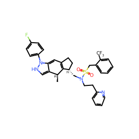 C[C@H]1C2=CNN(c3ccc(F)cc3)C2=CC2=C1[C@@H](CN(CCc1ccccn1)S(=O)(=O)Cc1ccccc1C(F)(F)F)CC2